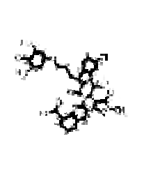 Cc1cc(OCCCc2c3n(c4cc(Cl)ccc24)C(C)[C@@H](c2c(C)nn(C)c2C)N(c2ccc4cccc(C(=O)O)c4n2)C3=O)cc(C)c1Cl